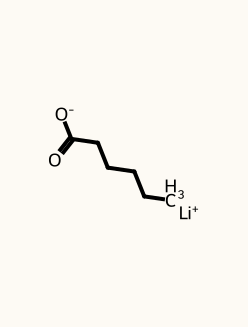 CCCCCC(=O)[O-].[Li+]